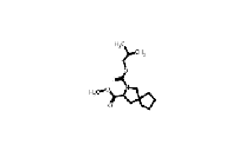 COC(=O)C1CC2(CCCC2)CN1C(=O)OCC(C)C